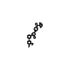 O=C(c1nccs1)N1CCN(C2CC(=O)N(c3cccc(-c4ccc(F)c(F)c4)c3)C2)CC1